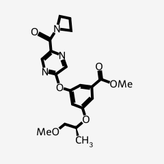 COC[C@H](C)Oc1cc(Oc2cnc(C(=O)N3CCC3)cn2)cc(C(=O)OC)c1